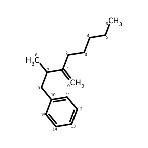 C=C(CCCCC)C(C)Cc1ccccc1